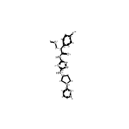 COC[C@@H](C(=O)Nc1nnc(N[C@@H]2CCN(c3cccnn3)C2)s1)c1ccc(F)cc1